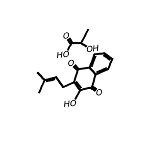 CC(C)=CCC1=C(O)C(=O)c2ccccc2C1=O.CC(O)C(=O)O